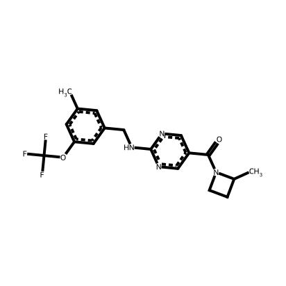 Cc1cc(CNc2ncc(C(=O)N3CCC3C)cn2)cc(OC(F)(F)F)c1